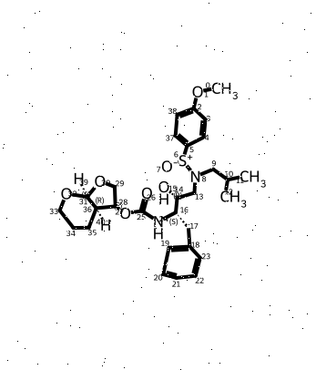 COc1ccc([S+]([O-])N(CC(C)C)C[C@@H](O)[C@H](Cc2ccccc2)NC(=O)O[C@@H]2CO[C@@H]3OCCC[C@@H]32)cc1